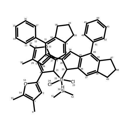 Cc1cc(C2=Cc3c(cc4c(c3-c3ccccc3)CCC4)[CH]2[Zr]([Cl])([Cl])([CH]2C(c3cc(C)c(C)o3)=Cc3c2cc2c(c3-c3ccccc3)CCC2)[SiH](C)C)oc1C